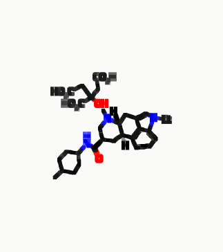 CCn1cc2c3c(cccc31)[C@H]1C[C@@H](C(=O)NC3CCC(C)CC3)CN(C)[C@@H]1C2.O=C(O)CC(O)(CC(=O)O)C(=O)O